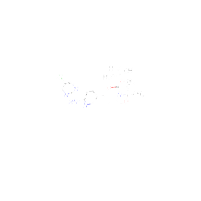 CC(C)(C)OC(=O)N1[C@@H](CCc2ccc(Nc3ncc(Cl)cn3)nc2)COC1(C)C